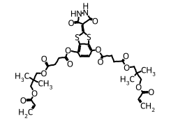 C=CC(=O)OCC(C)(C)COC(=O)CCC(=O)Oc1ccc(OC(=O)CCC(=O)OCC(C)(C)COC(=O)C=C)c2c1SC(=C1C(=O)NNC1=O)S2